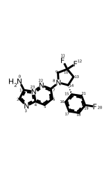 Nc1cnc2ccc(N3CC(F)(F)C[C@@H]3c3cccc(F)c3)nn12